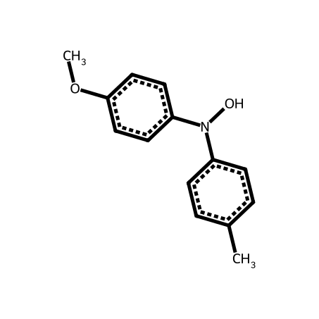 COc1ccc(N(O)c2ccc(C)cc2)cc1